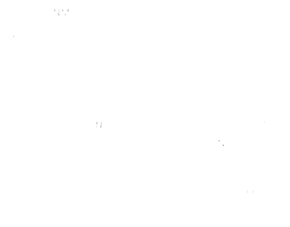 CNC(=O)c1ccc(N2CCC(Cc3ccc4c(c3)NC(=O)C(C)O4)CC2)cc1